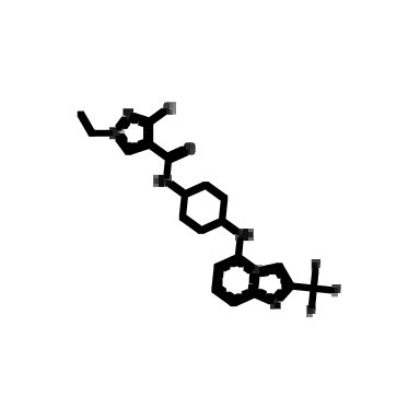 CCn1cc(C(=O)NC2CCC(Nc3cccc4nc(C(F)(F)F)cn34)CC2)c(Cl)n1